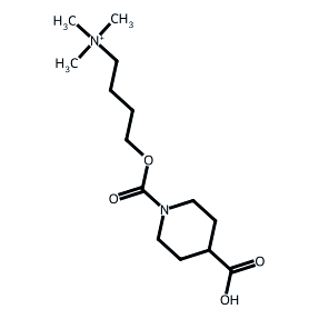 C[N+](C)(C)CCCCOC(=O)N1CCC(C(=O)O)CC1